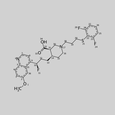 COc1ccc2nccc([C@H](F)CC[C@@H]3CCN(CCCSc4c(F)cccc4F)C[C@@H]3C(=O)O)c2c1